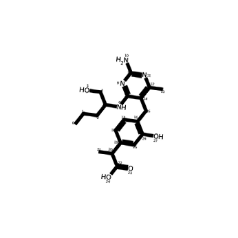 CCCC(CO)Nc1nc(N)nc(C)c1Cc1ccc(C(C)C(=O)O)cc1O